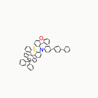 c1ccc(-c2ccc(-c3ccc(N(c4cccc5c4Sc4ccccc4C54c5ccccc5[Si](c5ccccc5)(c5ccccc5)c5ccccc54)c4cccc5oc6ccccc6c45)cc3)cc2)cc1